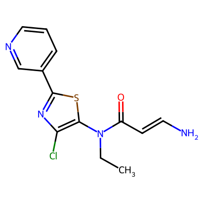 CCN(C(=O)C=CN)c1sc(-c2cccnc2)nc1Cl